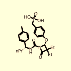 CCC[C@@H](NC(=O)N1C(=O)C(CC)(CC)[C@@H]1Oc1ccc(CP(=O)(O)O)cc1)c1ccc(C)cc1